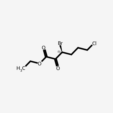 CCOC(=O)C(=O)[C@@H](Br)CCCCl